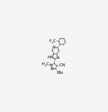 Cn1nc(C(C)(C)C)c(C#N)c1-c1nc2cc(-c3ccccc3C(F)(F)F)ncc2[nH]1